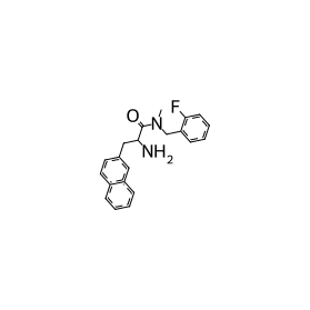 CN(Cc1ccccc1F)C(=O)C(N)Cc1ccc2ccccc2c1